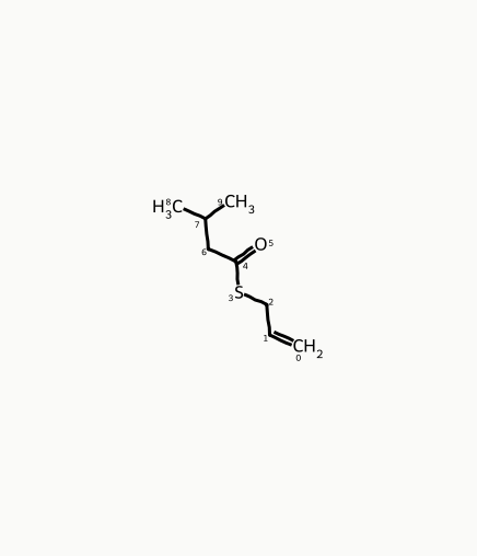 C=CCSC(=O)CC(C)C